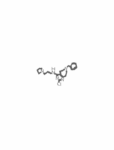 Clc1nc2c(c(NCCCN3CCCC3)n1)CCN(Cc1ccccc1)CC2